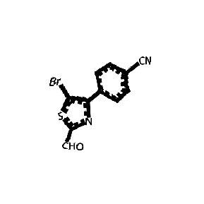 N#Cc1ccc(-c2nc(C=O)sc2Br)cc1